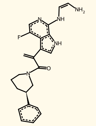 C=C(C(=O)N1CCC[C@H](c2ccccc2)C1)c1c[nH]c2c(N/C=C\N)ncc(F)c12